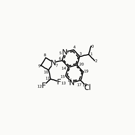 CC(C)c1cnc(N2CCC2C(F)F)c2cnc(Cl)cc12